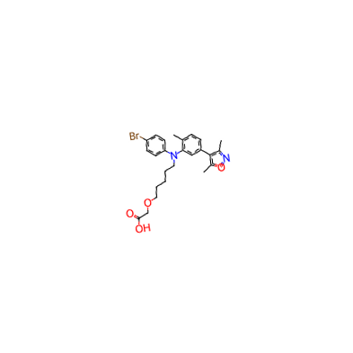 Cc1ccc(-c2c(C)noc2C)cc1N(CCCCCOCC(=O)O)c1ccc(Br)cc1